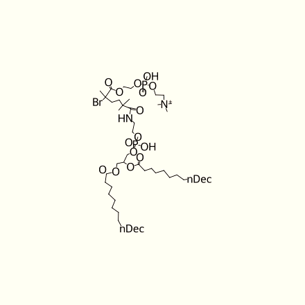 CCCCCCCCCCCCCCCCCC(=O)OCC(COP(=O)(O)OCCNC(=O)C(C)(C)CCC(C)(Br)C(=O)OCCOP(=O)(O)OCC[N+](C)(C)C)OC(=O)CCCCCCCCCCCCCCCCC